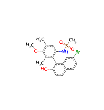 COc1c(C)cc(NS(C)(=O)=O)c(-c2c(O)ccc3ccc(Br)cc23)c1C